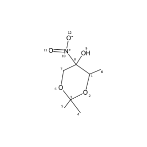 CC1OC(C)(C)OCC1(O)[N+](=O)[O-]